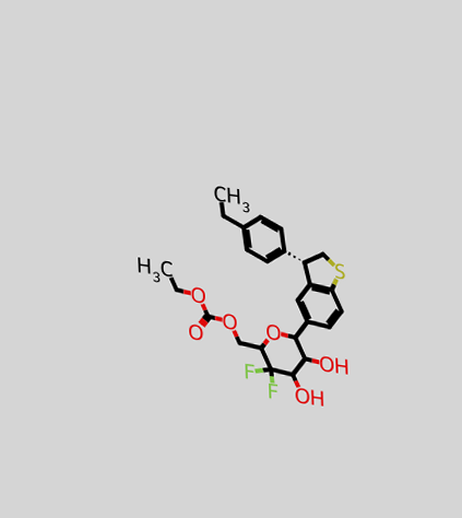 CCOC(=O)OCC1OC(c2ccc3c(c2)[C@H](c2ccc(CC)cc2)CS3)C(O)C(O)C1(F)F